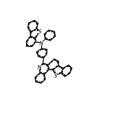 c1ccc(N(c2ccc(-c3nc4ccccc4c4c3ccc3c5ccccc5sc34)cc2)c2cccc3c2sc2ccccc23)cc1